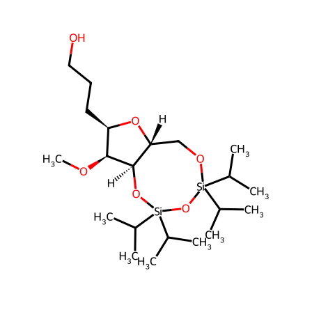 CO[C@@H]1[C@@H]2O[Si](C(C)C)(C(C)C)O[Si](C(C)C)(C(C)C)OC[C@H]2O[C@@H]1CCCO